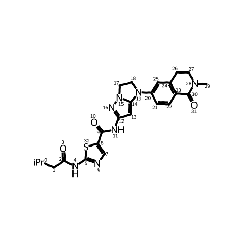 CC(C)CC(=O)Nc1ncc(C(=O)Nc2cc3n(n2)CCN3c2ccc3c(c2)CCN(C)C3=O)s1